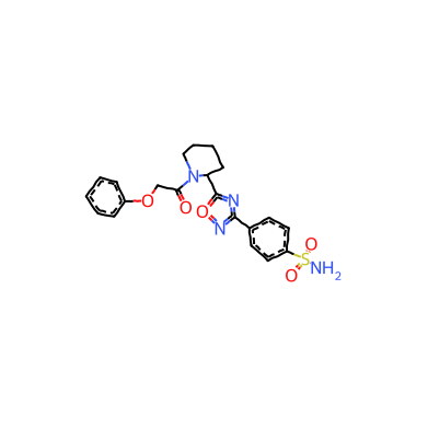 NS(=O)(=O)c1ccc(-c2noc(C3CCCCN3C(=O)COc3ccccc3)n2)cc1